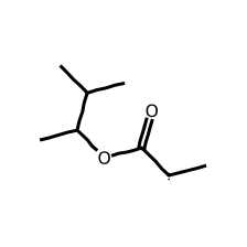 C[CH]C(=O)OC(C)C(C)C